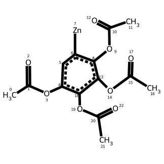 CC(=O)Oc1c[c]([Zn])c(OC(C)=O)c(OC(C)=O)c1OC(C)=O